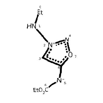 CCN[n+]1cc([N-]C(=O)OCC)on1